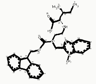 CC[C@H](C)[C@H](NCCN(Cc1nc2ccccc2n1C)C(=O)OCC1c2ccccc2-c2ccccc21)C(=O)O